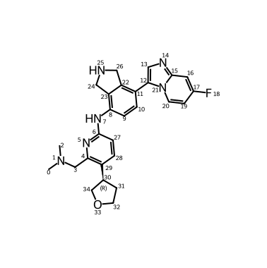 CN(C)Cc1nc(Nc2ccc(-c3cnc4cc(F)ccn34)c3c2CNC3)ccc1[C@H]1CCOC1